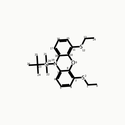 CCSc1cccc2c1Oc1c(SCC)cccc1N2[Si](C)(C)C(C)(C)C